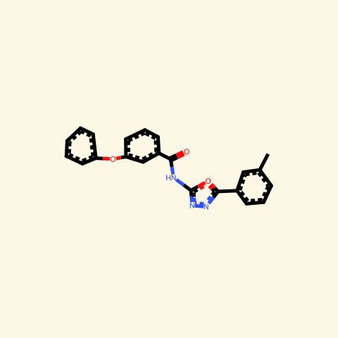 Cc1cccc(-c2nnc(NC(=O)c3cccc(Oc4ccccc4)c3)o2)c1